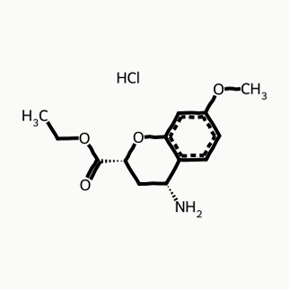 CCOC(=O)[C@H]1C[C@@H](N)c2ccc(OC)cc2O1.Cl